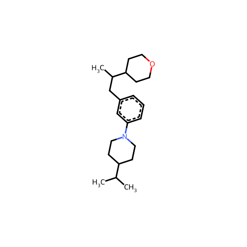 CC(C)C1CCN(c2cccc(CC(C)C3CCOCC3)c2)CC1